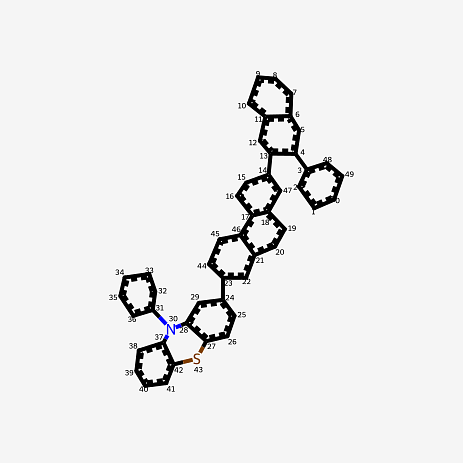 c1ccc(-c2cc3ccccc3cc2-c2ccc3c(ccc4cc(-c5ccc6c(c5)N(c5ccccc5)c5ccccc5S6)ccc43)c2)cc1